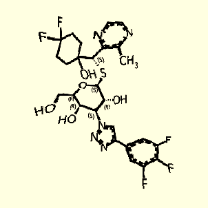 Cc1nccnc1[C@H](S[C@@H]1O[C@H](CO)[C@H](O)[C@H](n2cc(-c3cc(F)c(F)c(F)c3)nn2)[C@H]1O)C1(O)CCC(F)(F)CC1